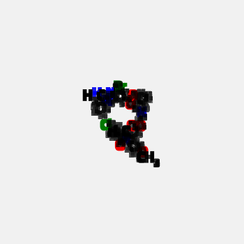 CCN(Cc1cc(C(=O)OCCN(CCOC(=O)Cc2c(C)n(C(=O)c3ccc(Cl)cc3)c3ccc(OC)cc23)Cc2ccccc2)cc(Br)c1N)C1CCCCC1